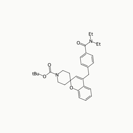 CCN(CC)C(=O)c1ccc(CC2=CC3(CCN(C(=O)OC(C)(C)C)CC3)Oc3ccccc32)cc1